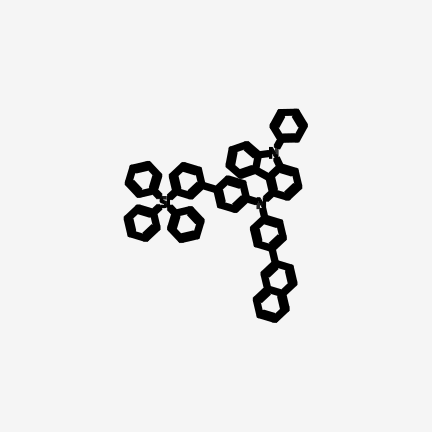 c1ccc(-n2c3ccccc3c3c(N(c4ccc(-c5cccc([Si](c6ccccc6)(c6ccccc6)c6ccccc6)c5)cc4)c4ccc(-c5ccc6ccccc6c5)cc4)cccc32)cc1